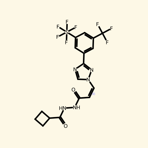 O=C(/C=C\n1cnc(-c2cc(C(F)(F)F)cc(S(F)(F)(F)(F)F)c2)n1)NNC(=O)C1CCC1